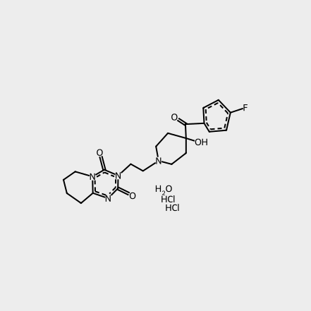 Cl.Cl.O.O=C(c1ccc(F)cc1)C1(O)CCN(CCn2c(=O)nc3n(c2=O)CCCC3)CC1